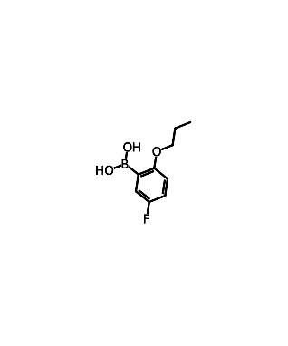 CCCOc1ccc(F)cc1B(O)O